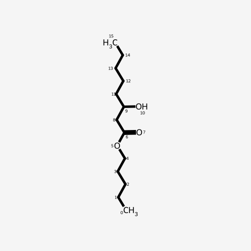 CCCCCOC(=O)CC(O)CCCCC